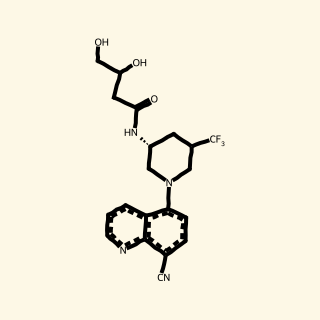 N#Cc1ccc(N2CC(C(F)(F)F)C[C@@H](NC(=O)CC(O)CO)C2)c2cccnc12